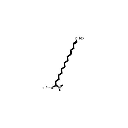 CCCCCCC=CCC=CCCCCCCCCCC(CCCCC)N(C)C